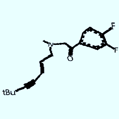 CN(CC=CC#CC(C)(C)C)CC(=O)c1ccc(F)c(F)c1